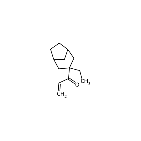 C=CC(=O)C1(CC)CC2CCC(C2)C1